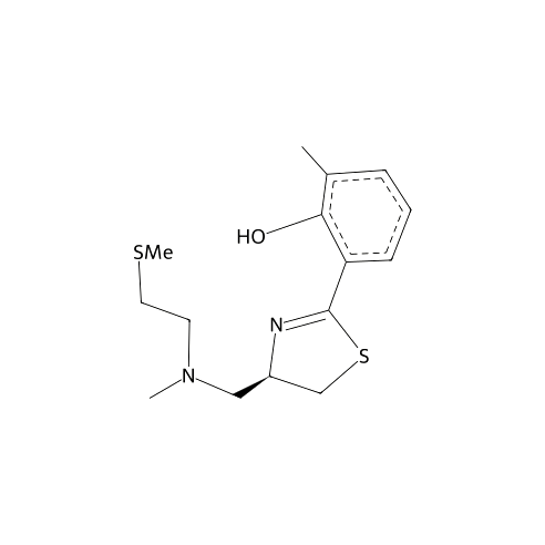 CSCCN(C)C[C@@H]1CSC(c2cccc(C)c2O)=N1